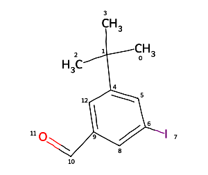 CC(C)(C)c1cc(I)cc(C=O)c1